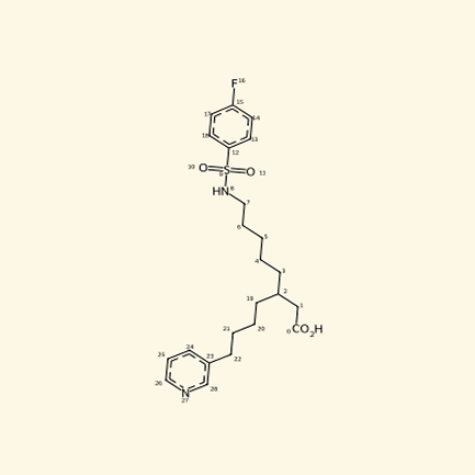 O=C(O)CC(CCCCCNS(=O)(=O)c1ccc(F)cc1)CCCCc1cccnc1